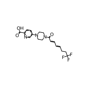 O=C(O)c1ccc(N2CCN(C(=O)C=CC=CCCC(F)(F)F)CC2)cn1